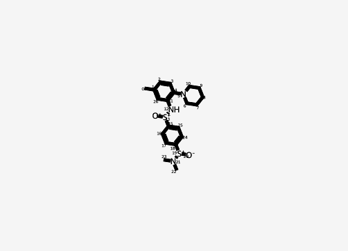 Cc1ccc(N2CCCCC2)c(N[S+]([O-])c2ccc([S+]([O-])N(C)C)cc2)c1